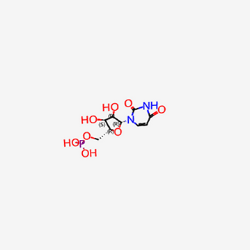 O=c1ccn([C@@H]2O[C@H](COP(O)O)[C@@H](O)[C@H]2O)c(=O)[nH]1